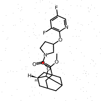 COC(=O)C12CC3CC(C1)C(OC(=O)N1CCC(Oc4ncc(F)cc4F)C1)[C@H](C3)C2